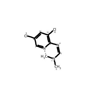 CN(C)/C=N\c1ncc(Cl)cc1Cl